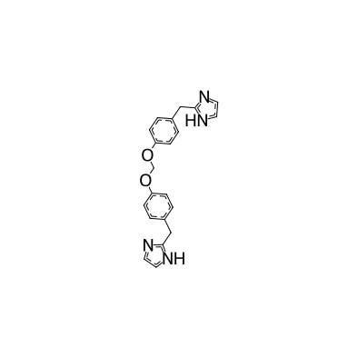 c1c[nH]c(Cc2ccc(OCOc3ccc(Cc4ncc[nH]4)cc3)cc2)n1